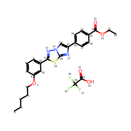 CCCCCOc1cccc(-c2nn3cc(-c4ccc(C(=O)OCC)cc4)nc3s2)c1.O=C(O)C(F)(F)F